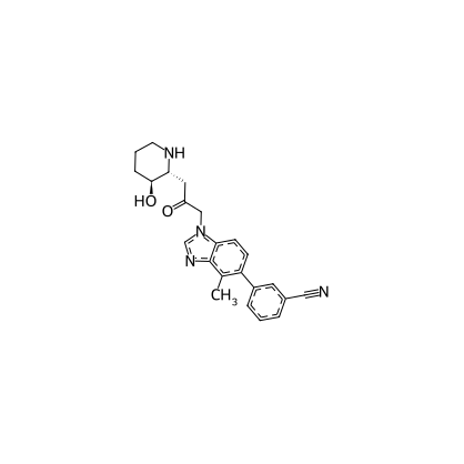 Cc1c(-c2cccc(C#N)c2)ccc2c1ncn2CC(=O)C[C@H]1NCCC[C@@H]1O